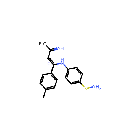 Cc1ccc(/C(=C/C(=N)C(F)(F)F)Nc2ccc(SN)cc2)cc1